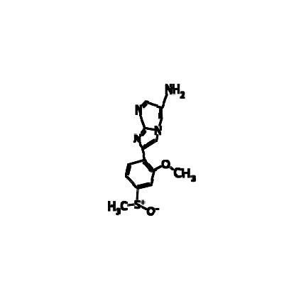 COc1cc([S+](C)[O-])ccc1-c1cn2cc(N)cnc2n1